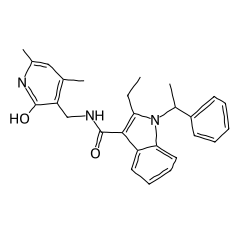 CCc1c(C(=O)NCc2c(C)cc(C)nc2O)c2ccccc2n1C(C)c1ccccc1